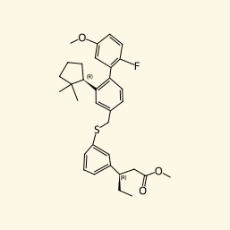 CC[C@H](CC(=O)OC)c1cccc(SCc2ccc(-c3cc(OC)ccc3F)c([C@@H]3CCCC3(C)C)c2)c1